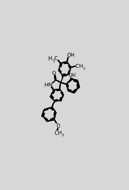 COc1cccc(-c2ccc3c(c2)NC(=O)C3(c2cc(C)c(O)c(C)c2)c2ccccc2O)c1